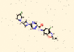 Cc1nc2c(F)cc(NC(=O)c3cnc(N4CC(CN5CC[C@@H](F)C5)C4)cn3)cc2o1